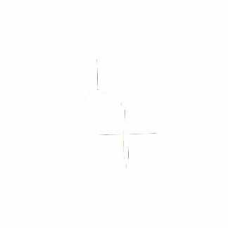 CC(C)O[P](C)(C)=[Y]